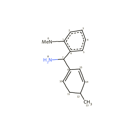 CNc1ccccc1C(N)C1=CCC(C)C=C1